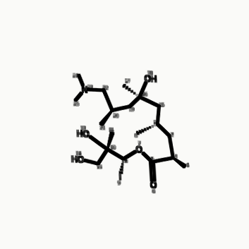 C[C@@H](C[C@@H](C)C(=O)O[C@H](I)[C@@](C)(O)CO)C[C@](C)(O)C[C@@H](C)CN(C)C